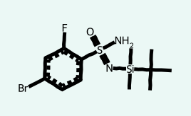 CC(C)(C)[Si](C)(C)N=S(N)(=O)c1ccc(Br)cc1F